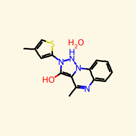 CC1=Nc2ccccc2N2NN(c3cc(C)cs3)C(O)=C12.O